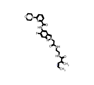 C=C(/C=C\C)C(=O)NCCNC(=O)Cn1cc2cc(NC(=O)c3cccc(N4CCOCC4)n3)c(F)cc2n1